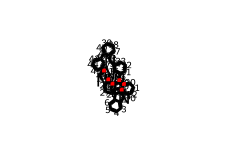 Cn1c2ccccc2c2cc(-c3nccn3-c3c(-n4c5ccccc5c5ccccc54)cccc3-n3c4ccccc4c4ccccc43)ccc21